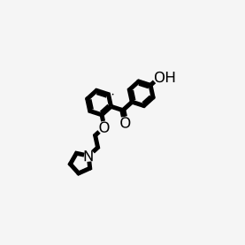 O=C(c1ccc(O)cc1)c1[c]cccc1OCCN1CCCC1